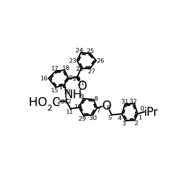 CC(C)c1ccc(COc2ccc(CC(Nc3ccccc3C(=O)c3ccccc3)C(=O)O)cc2)cc1